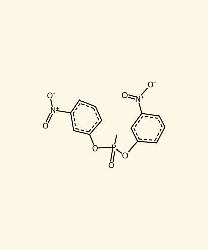 CP(=O)(Oc1cccc([N+](=O)[O-])c1)Oc1cccc([N+](=O)[O-])c1